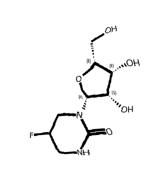 O=C1NCC(F)CN1[C@@H]1O[C@H](CO)[C@H](O)[C@@H]1O